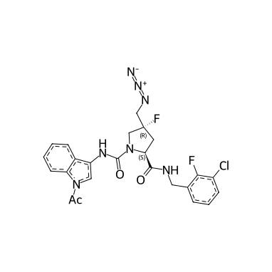 CC(=O)n1cc(NC(=O)N2C[C@@](F)(CN=[N+]=[N-])C[C@H]2C(=O)NCc2cccc(Cl)c2F)c2ccccc21